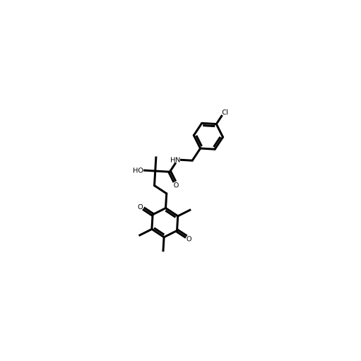 CC1=C(C)C(=O)C(CCC(C)(O)C(=O)NCc2ccc(Cl)cc2)=C(C)C1=O